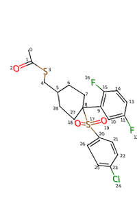 CC(=O)SCC1CCC(c2cc(F)ccc2F)(S(=O)(=O)c2ccc(Cl)cc2)CC1